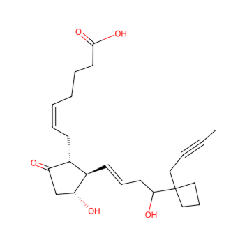 CC#CCC1(C(O)C/C=C/[C@H]2[C@H](O)CC(=O)[C@@H]2C/C=C\CCCC(=O)O)CCC1